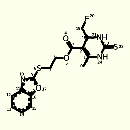 CC1=C(C(=O)OCCSc2nc3ccccc3o2)C(CF)NC(=S)N1